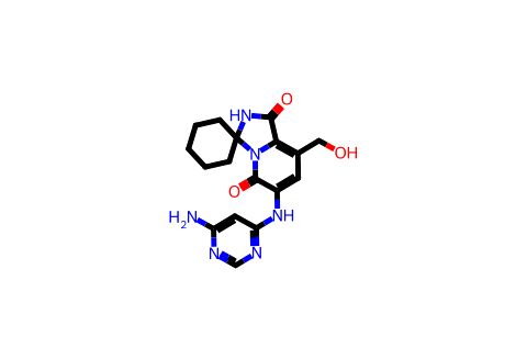 Nc1cc(Nc2cc(CO)c3n(c2=O)C2(CCCCC2)NC3=O)ncn1